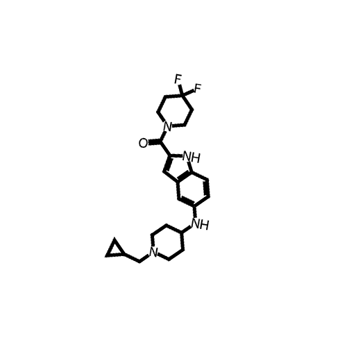 O=C(c1cc2cc(NC3CCN(CC4CC4)CC3)ccc2[nH]1)N1CCC(F)(F)CC1